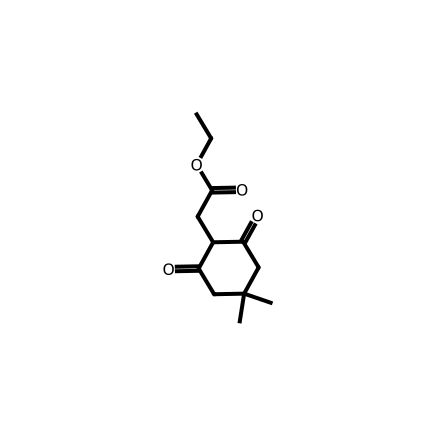 CCOC(=O)CC1C(=O)CC(C)(C)CC1=O